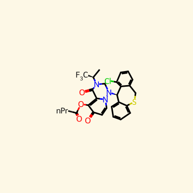 CCCC(=O)Oc1c2n(ccc1=O)N([C@@H]1c3ccccc3SCc3cccc(Cl)c31)CN([C@H](C)C(F)(F)F)C2=O